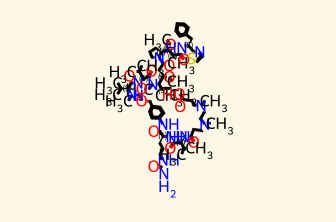 CC[C@H](C)C([C@@H](CC(=O)N1CCC[C@H]1[C@H](OC)[C@@H](C)C(=O)N[C@@H](Cc1ccccc1)c1nccs1)OC)N(C)C(=O)[C@@H](NC(=O)[C@H](C(C)C)N(C)C(=O)OCc1ccc(NC(=O)[C@H](CCCNC(N)=O)NC(=O)[C@@H](NC(=O)CCN(C)CCN(C)CCC(=O)O)C(C)C)cc1)C(C)C